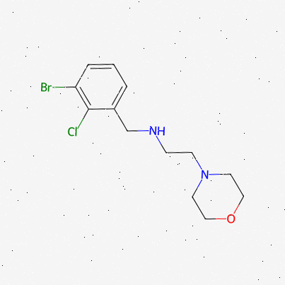 Clc1c(Br)cccc1CNCCN1CCOCC1